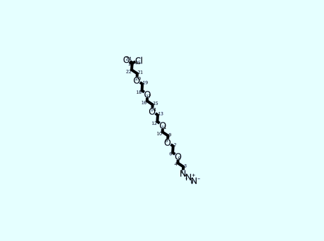 [N-]=[N+]=NCCOCCOCCOCCOCCOCCOCCC(=O)Cl